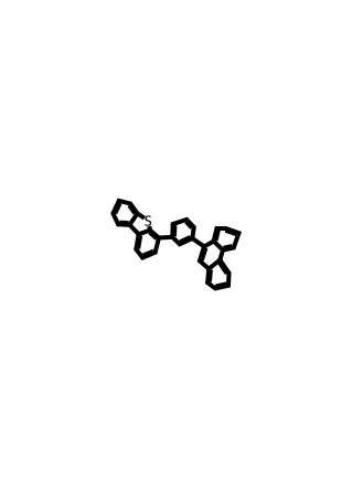 c1cc(-c2cc3ccccc3c3ccccc23)cc(-c2cccc3c2sc2ccccc23)c1